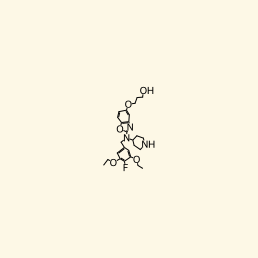 CCOc1cc(CN(c2nc3cc(OCCCO)ccc3o2)C2CCNCC2)cc(OCC)c1F